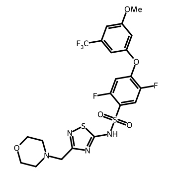 COc1cc(Oc2cc(F)c(S(=O)(=O)Nc3nc(CN4CCOCC4)ns3)cc2F)cc(C(F)(F)F)c1